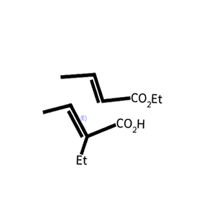 C/C=C(\CC)C(=O)O.CC=CC(=O)OCC